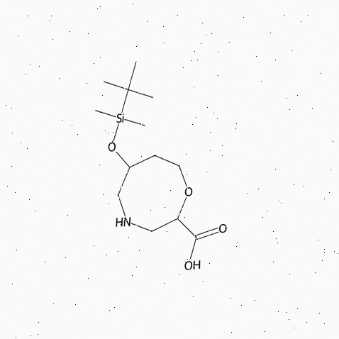 CC(C)(C)[Si](C)(C)OC1CCOC(C(=O)O)CNC1